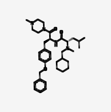 CC(C)C[C@@H](C(=O)N[C@@H](Cc1ccc(OCc2ccccc2)cc1)C(=O)N1CCN(C)CC1)N(C)CC1CCCCC1